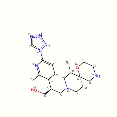 CC1=NC(n2cnnn2)=CCC1[C@H](CO)CN1CC[C@]2(CNCCO2)[C@@H](C)C1